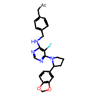 CC(=O)Cc1ccc(CNc2ncnc(N3CCCC3c3ccc4c(c3)OCO4)c2F)cc1